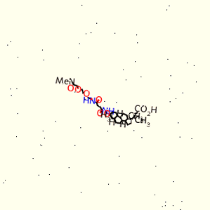 CNC(=O)COCCOCCNC(=O)CCC(=O)NO[C@H]1CC[C@@]2(C)[C@H](CC[C@H]3C4CC[C@H]([C@H](C)CCC(=O)O)[C@@]4(C)CC[C@@H]32)C1